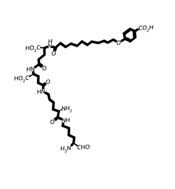 N[C@H]([C]=O)CCCCNC(=O)[C@@H](N)CCCCNC(=O)CC[C@H](NC(=O)CC[C@H](NC(=O)CCCCCCCCCCCOc1ccc(C(=O)O)cc1)C(=O)O)C(=O)O